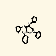 [c]1ccc(N2CC(Oc3ccccc3)C(Oc3ccccc3)C(Oc3ccccc3)C2)cc1